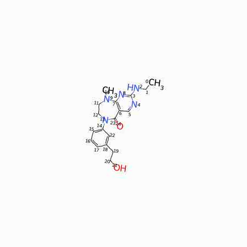 CCNc1ncc2c(n1)N(C)CCN(c1cccc(CCO)c1)C2=O